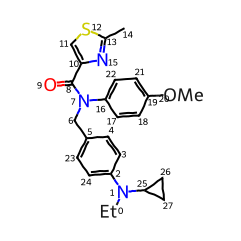 CCN(c1ccc(CN(C(=O)c2csc(C)n2)c2ccc(OC)cc2)cc1)C1CC1